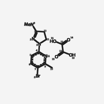 CNC1=NN(c2ccc(Br)c(C)n2)CC1.O=C(O)C(=O)O